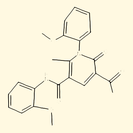 COc1ccccc1NC(=O)c1cc(C(C)=O)c(=O)n(-c2ccccc2OC)c1C